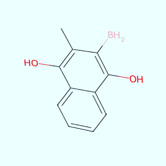 Bc1c(C)c(O)c2ccccc2c1O